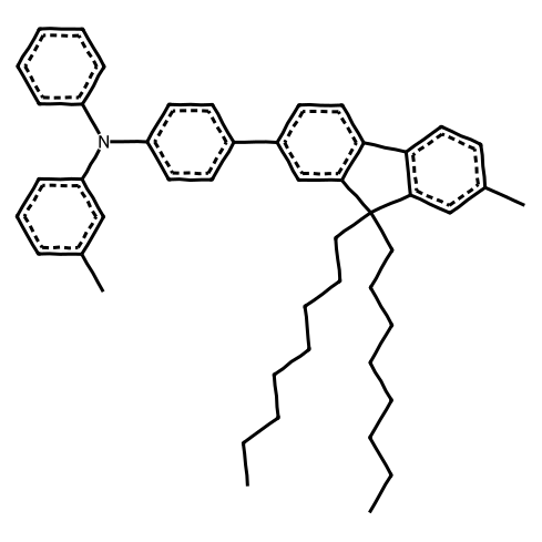 CCCCCCCCC1(CCCCCCCC)c2cc(C)ccc2-c2ccc(-c3ccc(N(c4ccccc4)c4cccc(C)c4)cc3)cc21